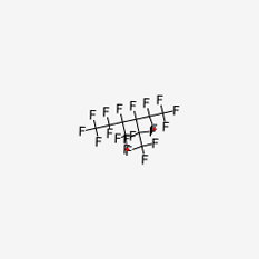 FC(F)(F)C(F)(F)C(F)(C(F)(F)F)C(F)(C(F)(F)C(F)(F)F)C(F)(F)C(F)(F)F